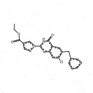 CCOC(=O)c1cnn(-c2nc3cc(Cl)c(Cc4ccccc4)cc3c(=O)[nH]2)c1